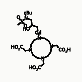 CCCCN(CC(O)[CH2][Gd][N]1CCN(CC(=O)O)CCN(CC(=O)O)CCN(CC(=O)O)CC1)S(C)(=O)=O